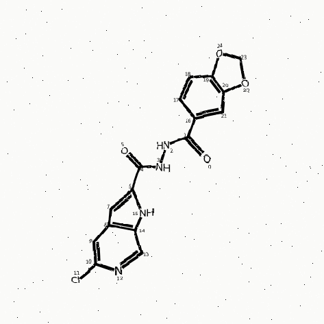 O=C(NNC(=O)c1cc2cc(Cl)ncc2[nH]1)c1ccc2c(c1)OCO2